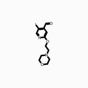 O=Cc1cc(OCCN2CCOCC2)ncc1I